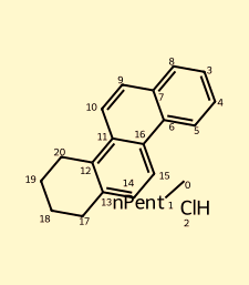 CCCCCC.Cl.c1ccc2c(c1)ccc1c3c(ccc12)CCCC3